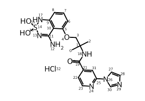 CC(C)(COc1cccc2c1C(N)=NS(O)(O)N2)NC(=O)c1ccnc(-n2ccnc2)c1.Cl